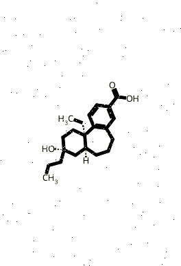 CCC[C@@]1(O)CC[C@@]2(CC)c3ccc(C(=O)O)cc3CCC[C@H]2C1